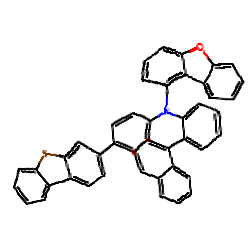 c1ccc(N(c2ccc(-c3ccc4c(c3)sc3ccccc34)cc2)c2cccc3oc4ccccc4c23)c(-c2cccc3ccccc23)c1